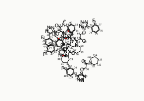 CN(C(=O)C(On1nnnc1-c1ccccc1F)N1N=NN(OC(C(=O)C(=O)N2CCCCC2)(C(On2nnnc2-c2cccc(F)c2)C(=O)N2CCCCC2)C2CCCCN2C(=O)C(=O)COn2nnnc2-c2ccccc2F)C1c1ccccc1F)c1ccccc1.O=C(COn1nnnc1-c1ccc(F)cc1)N1CCCCC1